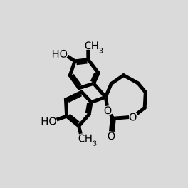 Cc1cc(C2(c3ccc(O)c(C)c3)CCCCCOC(=O)O2)ccc1O